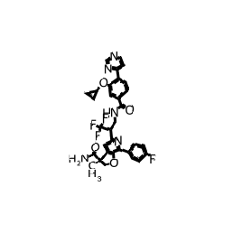 C[C@]1(C(N)=O)COc2c1cc(C(CNC(=O)c1ccc(-c3ccncn3)c(OC3CC3)c1)C(F)(F)F)nc2-c1ccc(F)cc1